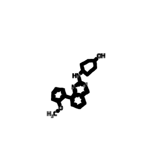 COc1ccccc1-c1cccc2cnc(NC3CCC(O)CC3)nc12